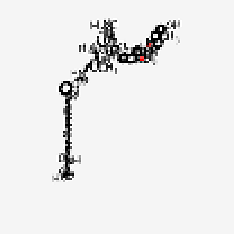 CC(=O)N[C@H](CCCCNC(=O)COC1CCCCCc2c1nnn2CCOCCOCCOCCOCCC(=O)NCCS(=O)(=O)O)C(=O)N[C@H](C(=O)N[C@@H](CCCNC(N)=O)C(=O)Nc1ccc2c(c1)[C@@]1(C)CCC[C@](C)(C(=O)NC(=O)[C@@]3(C)CCC[C@]4(C)c5cc(O)ccc5CC[C@@H]34)[C@@H]1CC2)C(C)C